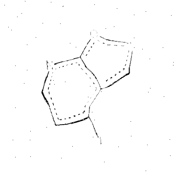 Ic1ccnc2oncc12